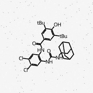 CC(C)(C)c1cc(C(=O)Nc2cc(Cl)c(Cl)cc2NC(=O)NC23CC4CC(CC(C4)C2)C3)cc(C(C)(C)C)c1O